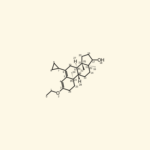 CCOC1=CC2=C(C3CC3)C[C@@H]3[C@H](CC[C@]4(C)C(O)CC[C@@]34C)[C@@]2(C)CC1